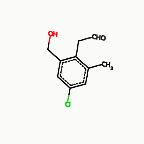 Cc1cc(Cl)cc(CO)c1CC=O